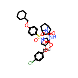 CC(C)(C)OC(=O)NC1CC2CCC(C1)N2C(=O)[C@@H]1C[C@H](Oc2ccc(Cl)cc2)CN1S(=O)(=O)c1ccc(OCC2CCCCC2)cc1